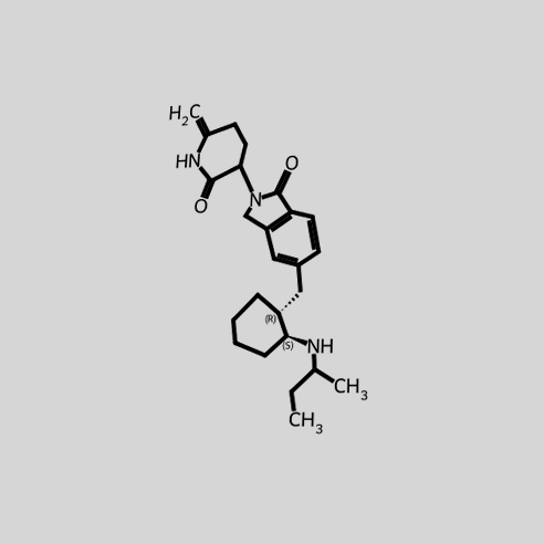 C=C1CCC(N2Cc3cc(C[C@H]4CCCC[C@@H]4NC(C)CC)ccc3C2=O)C(=O)N1